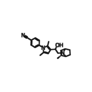 Cc1cc(C(O)CN2C3CCC2[C@@H](C)C3)c(C)n1-c1ccc(C#N)cc1